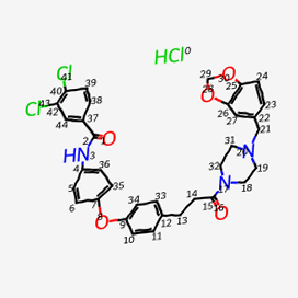 Cl.O=C(Nc1ccc(Oc2ccc(CCC(=O)N3CCN(Cc4ccc5c(c4)OCO5)CC3)cc2)cc1)c1ccc(Cl)c(Cl)c1